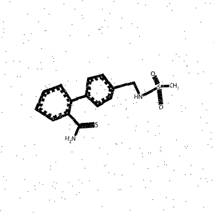 CS(=O)(=O)NCc1ccc(-c2ccccc2C(N)=S)cc1